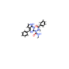 CNC(=O)N(c1nc(-c2ccccc2)c2cc[nH]c2n1)N(C)C(=O)c1ccccc1